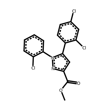 COC(=O)c1cc(-c2ccc(Cl)cc2Cl)n(-c2ccccc2Cl)n1